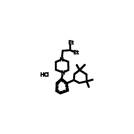 CCC(CC)CN1CCN(c2ccccc2C2CC(C)(C)CC(C)(C)C2)CC1.Cl